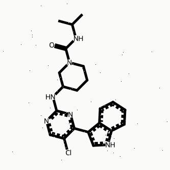 CC(C)NC(=O)N1CCCC(Nc2ncc(Cl)c(-c3c[nH]c4ccccc34)n2)C1